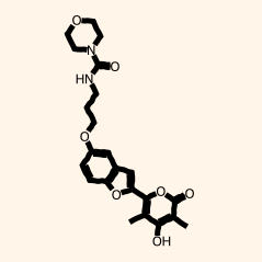 Cc1c(-c2cc3cc(OCCCNC(=O)N4CCOCC4)ccc3o2)oc(=O)c(C)c1O